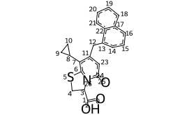 O=C(O)C1CSc2c(C3CC3)c(Cc3cccc4ccccc34)cc(=O)n21